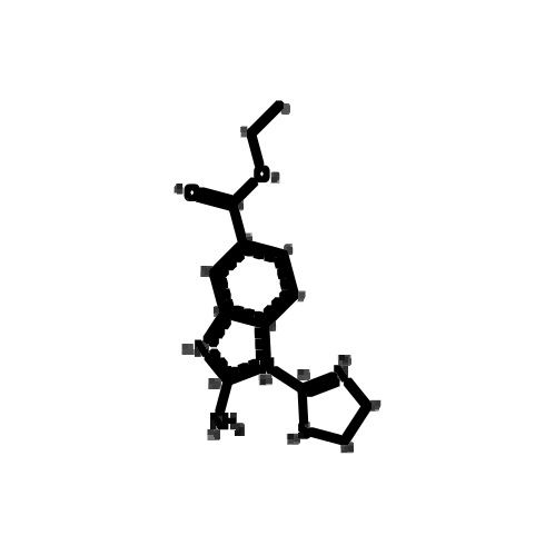 CCOC(=O)c1ccc2c(c1)nc(N)n2C1=NCCS1